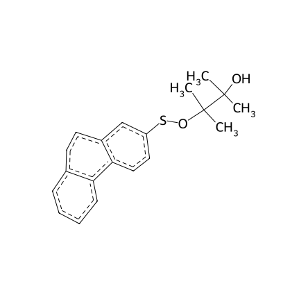 CC(C)(O)C(C)(C)OSc1ccc2c(ccc3ccccc32)c1